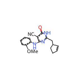 COc1ccccc1Nc1nc(CC2C=CCC2)[nH]c(=O)c1C#N